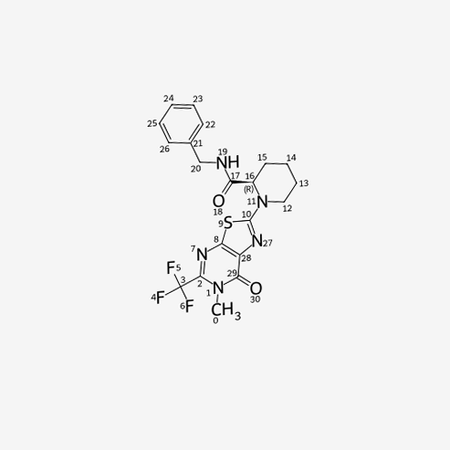 Cn1c(C(F)(F)F)nc2sc(N3CCCC[C@@H]3C(=O)NCc3ccccc3)nc2c1=O